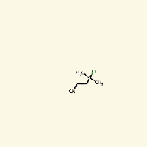 [C-]#[N+]CC[Si](C)(C)Cl